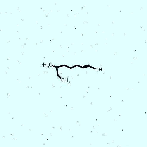 [CH2]C(CC)CCCC=CC